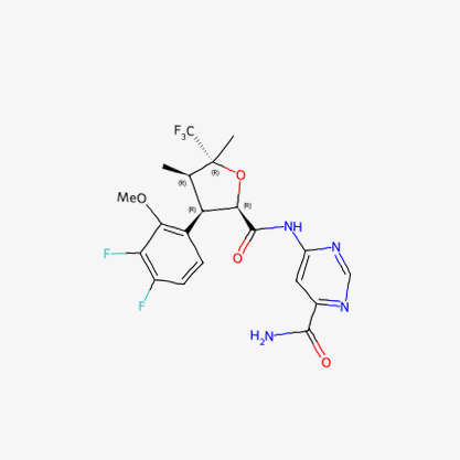 COc1c([C@H]2[C@@H](C)[C@](C)(C(F)(F)F)O[C@H]2C(=O)Nc2cc(C(N)=O)ncn2)ccc(F)c1F